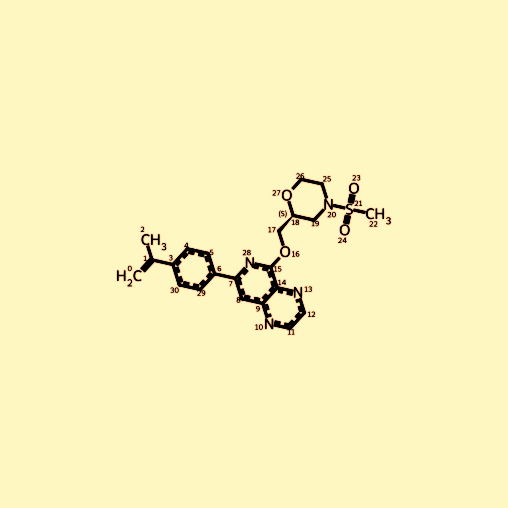 C=C(C)c1ccc(-c2cc3nccnc3c(OC[C@@H]3CN(S(C)(=O)=O)CCO3)n2)cc1